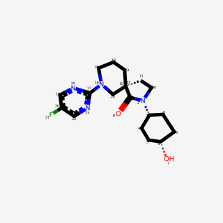 O=C1N([C@H]2CC[C@@H](O)CC2)CC[C@]12CCCN(c1ncc(F)cn1)C2